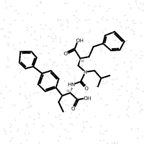 CCC(c1ccc(-c2ccccc2)cc1)[C@H](NC(=O)N(CC(C)C)C[C@H](CCc1ccccc1)C(=O)O)C(=O)O